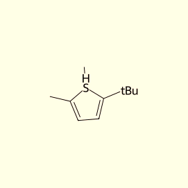 CC1=CC=C(C(C)(C)C)[SH]1C